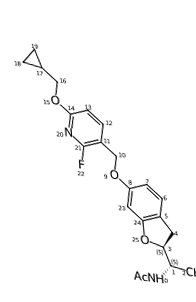 CC(=O)N[C@@H](C)[C@@H]1Cc2ccc(OCc3ccc(OCC4CC4)nc3F)cc2O1